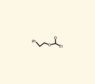 CCC([O])OCCC(C)C